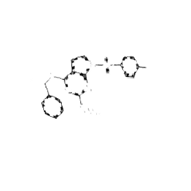 CNc1nc(N[C@@H](C)c2ccccc2)c2ccn(S(=O)(=O)c3ccc(C)cc3)c2n1